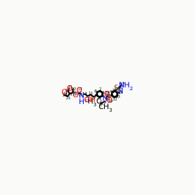 CC(C)CN(c1cccc(CCC(O)CNC(=O)OC2COC3OCCC23)c1)S(=O)(=O)c1ccc2nc(N)sc2c1